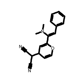 CN(C)C(=Cc1ccccc1)C1=CC(C(C#N)C#N)C=CO1